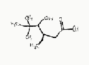 CC(CC(=O)O)C(O)C(C)(C)C